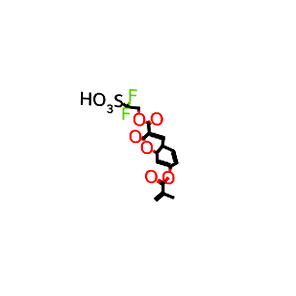 C=C(C)C(=O)OC1=CC2OC(=O)C(C(=O)OCC(F)(F)S(=O)(=O)O)=CC2C=C1